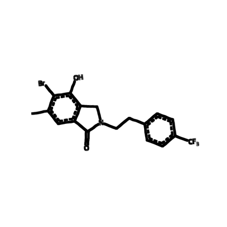 Cc1cc2c(c(O)c1Br)CN(CCc1ccc(C(F)(F)F)cc1)C2=O